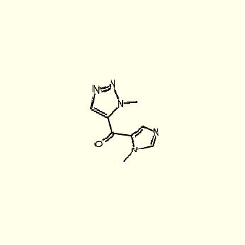 Cn1cncc1C(=O)c1cnnn1C